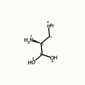 CCCC[C@H](N)C(O)O